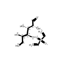 C=CS(=O)(=O)C=C.O=C[C@H](O)[C@@H](O)[C@@H](O)[C@H](O)CO